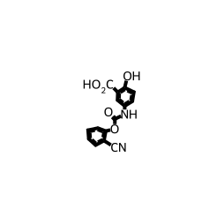 N#Cc1ccccc1OC(=O)Nc1ccc(O)c(C(=O)O)c1